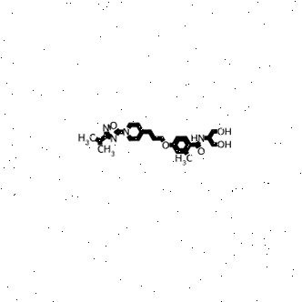 Cc1cc(OCCCC2CCN(c3nc(C(C)C)no3)CC2)ccc1C(=O)NC(CO)CO